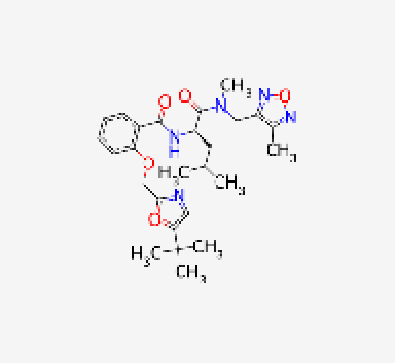 Cc1nonc1CN(C)C(=O)[C@@H](CC(C)C)NC(=O)c1ccccc1OCc1ncc(C(C)(C)C)o1